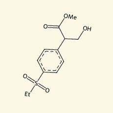 CCS(=O)(=O)c1ccc(C(CO)C(=O)OC)cc1